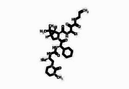 C=CCNC(=O)C(=O)C(CC)NC(=O)[C@@H]1[C@@H]2[C@H](CN1C(=O)[C@@H](NC(=O)N[C@H](CN1CCCN(C)C1=O)C(C)(C)C)C1CCCCC1)C2(C)C